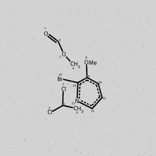 CC(Cl)Cl.COC=O.COc1cccnc1Br